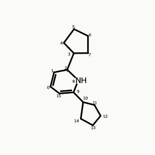 C1=C[C](C2CCCC2)NC(C2CCCC2)=C1